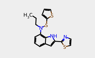 CCCN(Sc1cccs1)c1cccc2cc(-c3nccs3)[nH]c12